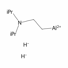 CC(C)N(C[CH2][Al+2])C(C)C.[H-].[H-]